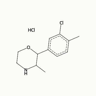 Cc1ccc(C2OCCNC2C)cc1Cl.Cl